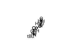 CC(C)(C)c1noc(C(=O)N[C@H]2CCCCc3cc(-c4ccnc(NC(=O)C5[C@H]6COC[C@H]56)c4)ccc32)n1